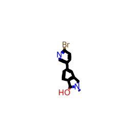 CN1Cc2cc(-c3ccc(Br)nc3)ccc2C1O